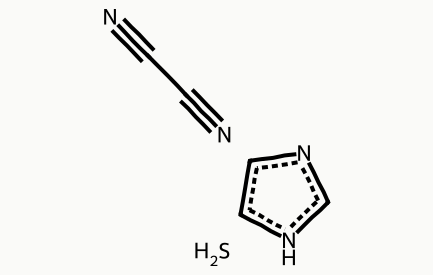 N#CC#N.S.c1c[nH]cn1